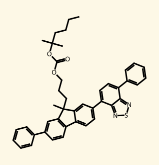 CCCCC(C)(C)OC(=O)OCCCC1(C)c2cc(-c3ccccc3)ccc2-c2ccc(-c3ccc(-c4ccccc4)c4nsnc34)cc21